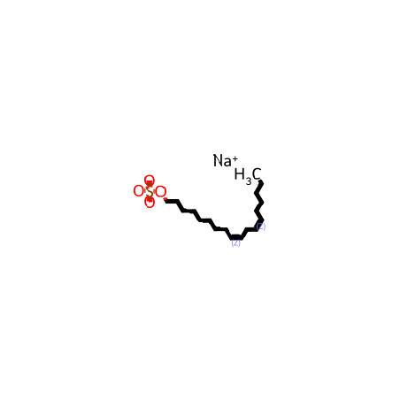 CCCCC/C=C\C/C=C\CCCCCCCCOS(=O)(=O)[O-].[Na+]